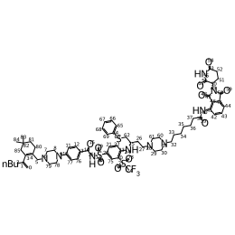 C=C(CCCC)C1=C(CN2CCN(c3ccc(C(=O)NS(=O)(=O)c4ccc(N[C@H](CCN5CCN(CCCCCCC(=O)Nc6cccc7c6C(=O)N(C6CCC(=O)NC6=O)C7=O)CC5)CSc5ccccc5)c(S(=O)(=O)C(F)(F)F)c4)cc3)CC2)CCC(C)(C)C1